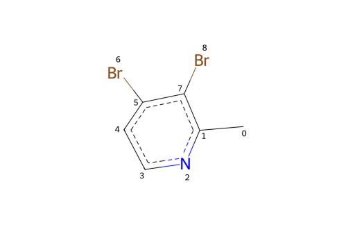 Cc1nccc(Br)c1Br